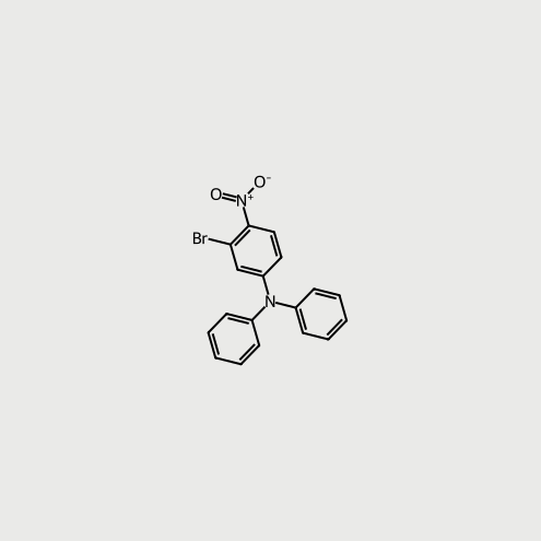 O=[N+]([O-])c1ccc(N(c2ccccc2)c2ccccc2)cc1Br